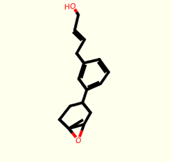 CC12CCC(c3cccc(CC=CCO)c3)CC1O2